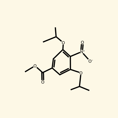 COC(=O)c1cc(OC(C)C)c([N+](=O)[O-])c(OC(C)C)c1